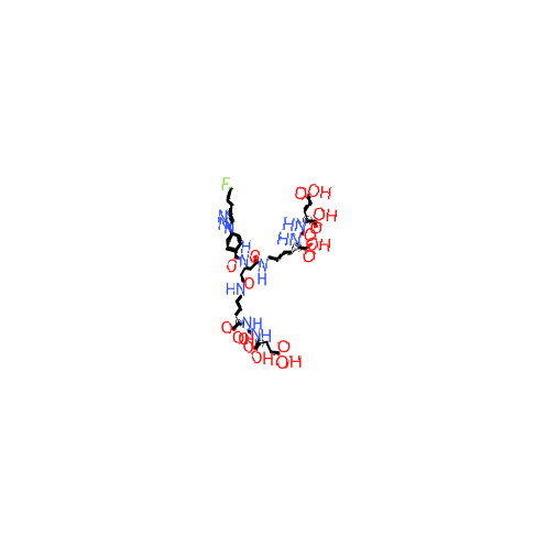 O=C(O)CC[C@H](NC(=O)N[C@@H](CCCCNC(=O)CC(CC(=O)NCCCC[C@H](NC(=O)N[C@@H](CCC(=O)O)C(=O)O)C(=O)O)NC(=O)c1ccc(-n2cc(CCCF)nn2)cc1)C(=O)O)C(=O)O